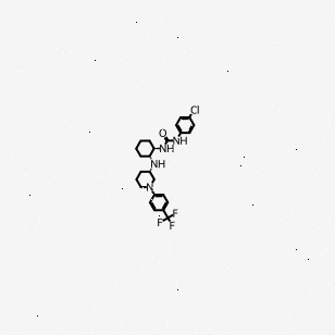 O=C(Nc1ccc(Cl)cc1)N[C@@H]1CCCC[C@H]1N[C@H]1CCCN(c2ccc(C(F)(F)F)cc2)C1